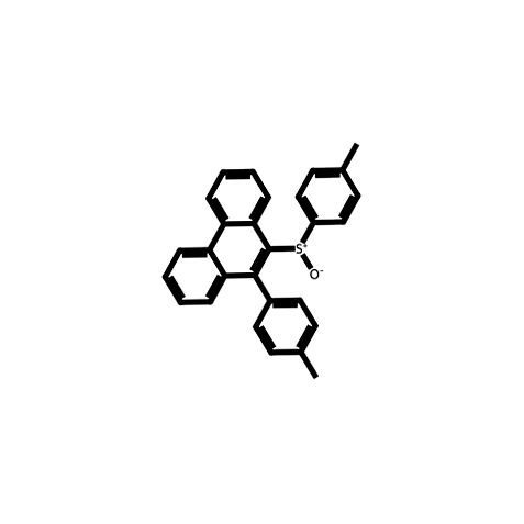 Cc1ccc(-c2c([S+]([O-])c3ccc(C)cc3)c3ccccc3c3ccccc23)cc1